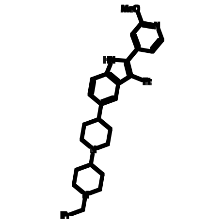 CCc1c(-c2ccnc(OC)c2)[nH]c2ccc(C3CCN(C4CCN(CC(C)C)CC4)CC3)cc12